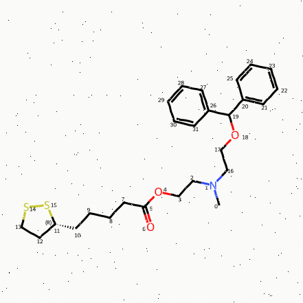 CN(CCOC(=O)CCCC[C@@H]1CCSS1)CCOC(c1ccccc1)c1ccccc1